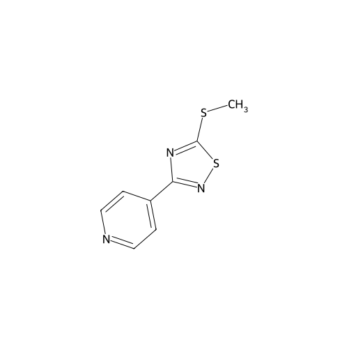 CSc1nc(-c2ccncc2)ns1